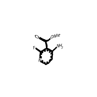 COC(=O)c1c(N)ccnc1F